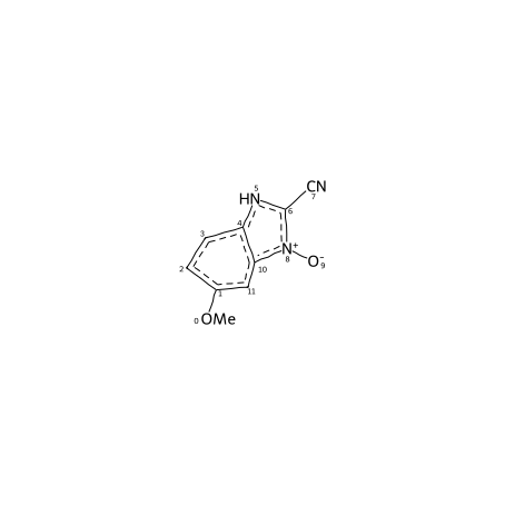 COc1ccc2[nH]c(C#N)[n+]([O-])c2c1